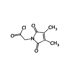 CC1=C(C)C(=O)N(CC(=O)Cl)C1=O